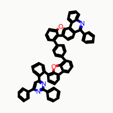 c1ccc(-c2cc(-c3ccccc3-c3cccc4c3oc3c(-c5ccc(-c6cccc7oc8c(ccc9c(-c%10ccccc%10)nc%10ccccc%10c98)c67)cc5)cccc34)nc(-c3ccccc3)n2)cc1